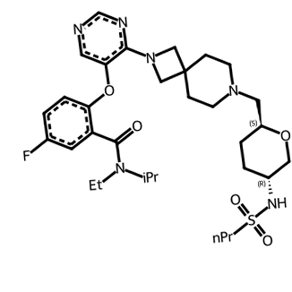 CCCS(=O)(=O)N[C@@H]1CC[C@@H](CN2CCC3(CC2)CN(c2ncncc2Oc2ccc(F)cc2C(=O)N(CC)C(C)C)C3)OC1